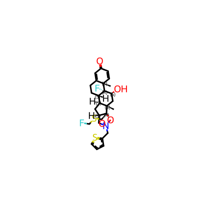 C[C@]12C=CC(=O)C=C1CC[C@H]1[C@@H]3C[C@H]4CN(Cc5cccs5)O[C@@]4(C(=O)SCF)[C@@]3(C)C[C@H](O)[C@@]12F